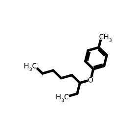 C[CH]CCCC(CC)Oc1ccc(C)cc1